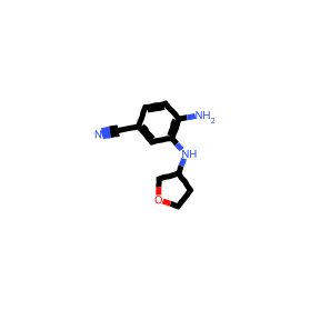 N#Cc1ccc(N)c(NC2CCOC2)c1